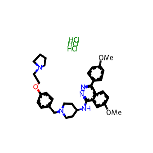 COc1ccc(-c2nnc(NC3CCN(Cc4ccc(OCCN5CCCC5)cc4)CC3)c3cc(OC)ccc23)cc1.Cl.Cl.Cl